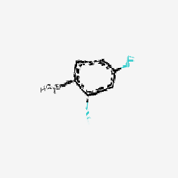 O=S(=O)(O)c1ccc(F)cc1F